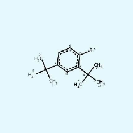 CC(C)(C)c1ccc([S])c(C(C)(C)C)c1